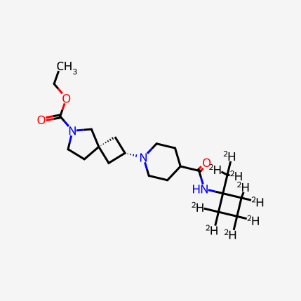 [2H]C([2H])([2H])C1(NC(=O)C2CCN([C@H]3C[C@@]4(CCN(C(=O)OCC)C4)C3)CC2)C([2H])([2H])C([2H])([2H])C1([2H])[2H]